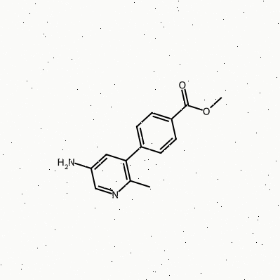 COC(=O)c1ccc(-c2cc(N)cnc2C)cc1